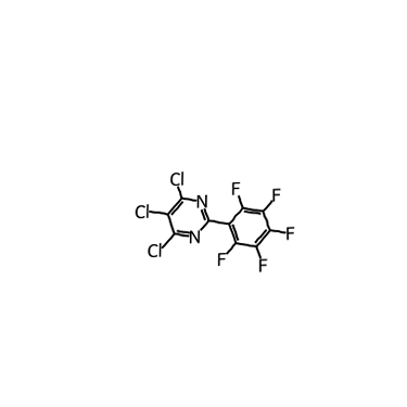 Fc1c(F)c(F)c(-c2nc(Cl)c(Cl)c(Cl)n2)c(F)c1F